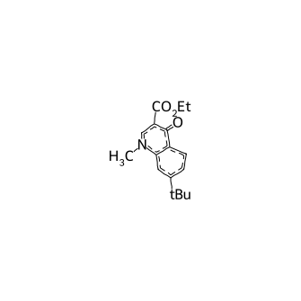 CCOC(=O)c1cn(C)c2cc(C(C)(C)C)ccc2c1=O